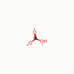 [O]C(=O)O